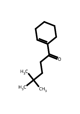 CC(C)(C)CCC(=O)C1=CCCCC1